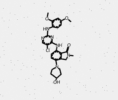 COc1ccc(Nc2ncc(Cl)c(Nc3ccc(N4CCC(O)CC4)c4c3C(=O)N(C)C4)n2)c(OC)c1